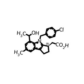 Cc1cc(C(C)O)c2c(c1)c1c(n2Cc2ccc(Cl)cc2)[C@@H](CC(=O)O)CC1